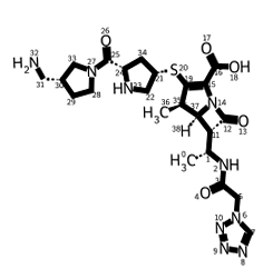 C[C@@H](NC(=O)Cn1cnnn1)[C@H]1C(=O)N2C(C(=O)O)=C(S[C@@H]3CN[C@H](C(=O)N4CC[C@H](CN)C4)C3)[C@H](C)[C@H]12